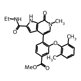 CCNC(=O)c1cc2c(-c3ccc(C(=O)OC)cc3Oc3c(C)cccc3C)cn(C)c(=O)c2[nH]1